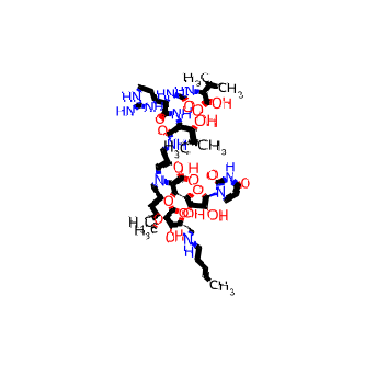 CCCCCNC[C@H]1OC(OC(C(C(=O)O)N(CCCCC)CCCNC(=O)C(NC(=O)C(NC(=O)NC(C(=O)O)C(C)C)C2CCNC(=N)N2)C(O)C(C)C)[C@@H]2O[C@@H](n3ccc(=O)[nH]c3=O)[C@H](O)[C@H]2O)[C@@H](OC)[C@H]1O